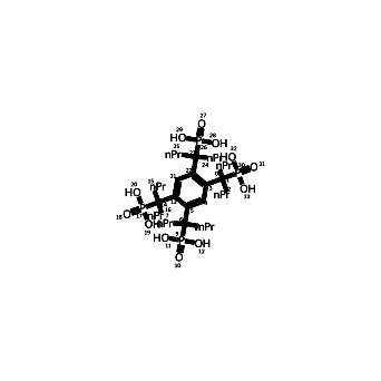 CCCC(CCC)(c1cc(C(CCC)(CCC)P(=O)(O)O)c(C(CCC)(CCC)P(=O)(O)O)cc1C(CCC)(CCC)P(=O)(O)O)P(=O)(O)O